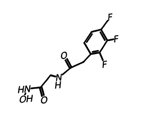 O=C(CNC(=O)Cc1ccc(F)c(F)c1F)NO